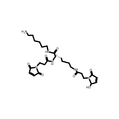 NCCCCCCNC(=O)[C@H](CCCCNC(=O)CCN1C(=O)C=CC1O)NC(=O)CCN1C(=O)C=CC1=O